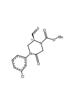 CC(C)(C)OC(=O)N1CC(=O)N(c2cccc(Cl)c2)C[C@H]1C=S